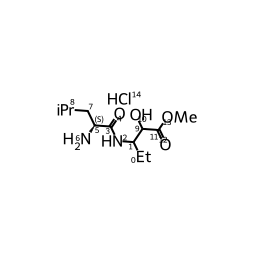 CCC(NC(=O)[C@@H](N)CC(C)C)C(O)C(=O)OC.Cl